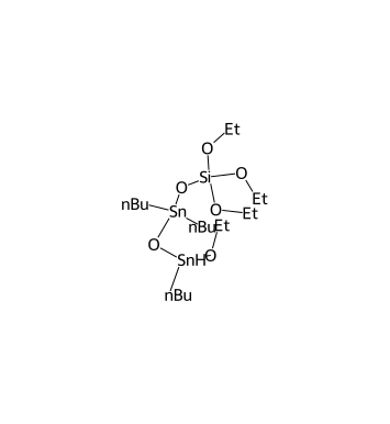 CCC[CH2][SnH]([O]CC)[O][Sn]([CH2]CCC)([CH2]CCC)[O][Si](OCC)(OCC)OCC